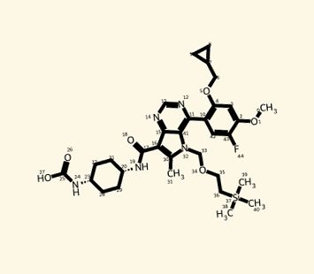 COc1cc(OCC2CC2)c(-c2ncnc3c(C(=O)N[C@H]4CC[C@@H](NC(=O)O)CC4)c(C)n(COCC[Si](C)(C)C)c23)cc1F